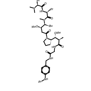 CC[C@H](C)[C@@H]([C@@H](CC(=O)N1CCC[C@H]1[C@H](OC)[C@@H](C)C(=O)NCC(=O)NCc1ccc(NC(C)C)cc1)OC)N(C)C(=O)[C@@H](NC(=O)[C@H](C(C)C)N(C)C)C(C)C